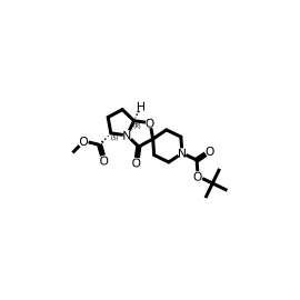 COC(=O)[C@@H]1CC[C@H]2OC3(CCN(C(=O)OC(C)(C)C)CC3)C(=O)N21